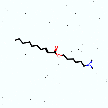 CCCCCCCC=CC(=O)OCCCCCCN(C)C